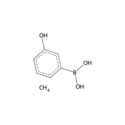 C.OB(O)c1cccc(O)c1